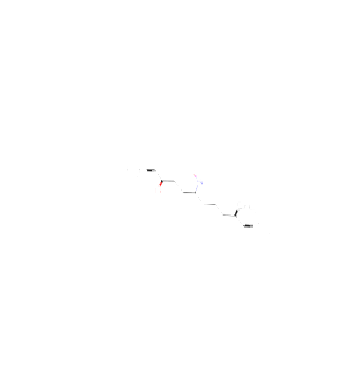 C=CC(=C)CCCC(CCC(=O)C=C)N=O